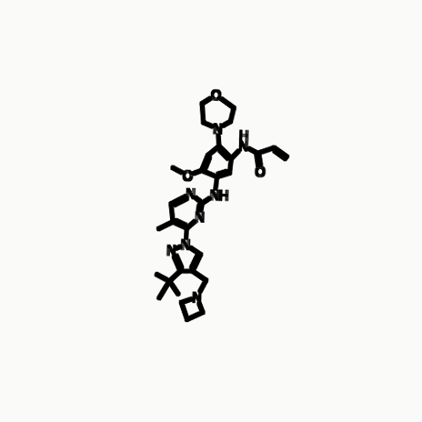 C=CC(=O)Nc1cc(Nc2ncc(C)c(-n3cc(CN4CCC4)c(C(C)(C)C)n3)n2)c(OC)cc1N1CCOCC1